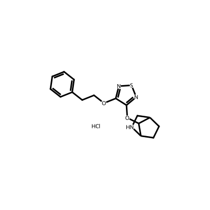 Cl.c1ccc(CCOc2nsnc2OC2C3CCC2NC3)cc1